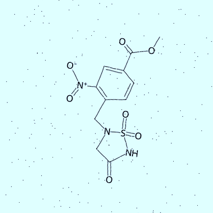 COC(=O)c1ccc(CN2CC(=O)NS2(=O)=O)c([N+](=O)[O-])c1